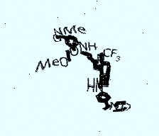 C=C(c1ccc(Nc2cccc3c2cc(C#CCNc2ccc(C(=O)NC)cc2OCCOC)n3CC(F)(F)F)cc1)N1CCOCC1